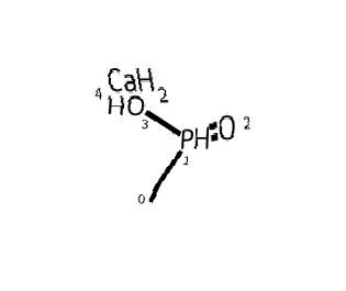 C[PH](=O)O.[CaH2]